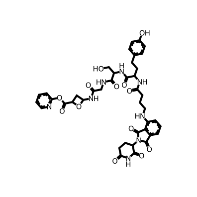 O=C1CCC(N2C(=O)c3cccc(NCCCC(=O)NC(CCc4ccc(O)cc4)C(=O)NC(CO)C(=O)NCC(=O)NC4CC(C(=O)Oc5ccccn5)O4)c3C2=O)C(=O)N1